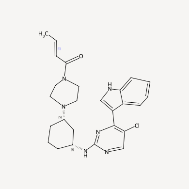 C/C=C/C(=O)N1CCN([C@H]2CCC[C@@H](Nc3ncc(Cl)c(-c4c[nH]c5ccccc45)n3)C2)CC1